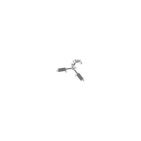 C#C[SiH]([SiH3])C#C